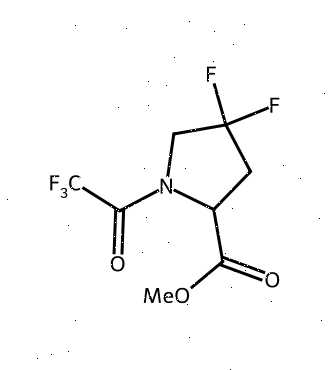 COC(=O)C1CC(F)(F)CN1C(=O)C(F)(F)F